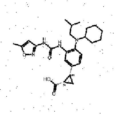 Cc1cc(NC(=O)Nc2cc([C@@H]3C[C@@H]3C(=O)O)ccc2N(CC(C)C)C2CCCCC2)no1